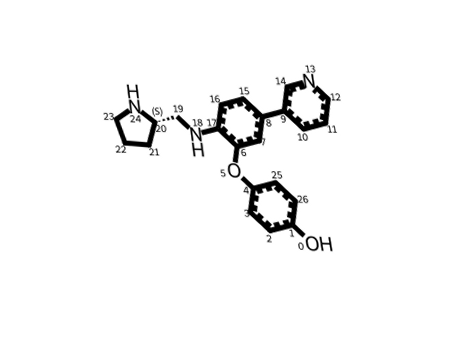 Oc1ccc(Oc2cc(-c3cccnc3)ccc2NC[C@@H]2CCCN2)cc1